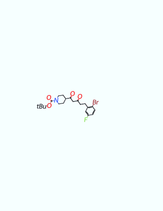 CC(C)(C)OC(=O)N1CCC(C(=O)CC(=O)CCc2cc(F)ccc2Br)CC1